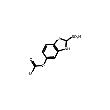 CCC(=O)Oc1ccc2c(c1)NC(S(=O)(=O)O)O2